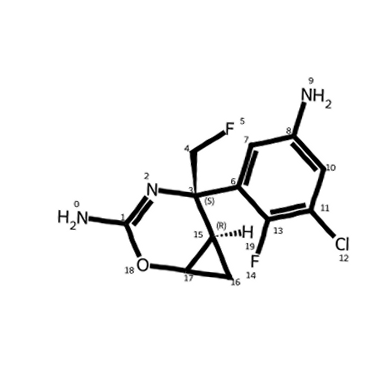 NC1=N[C@](CF)(c2cc(N)cc(Cl)c2F)[C@H]2CC2O1